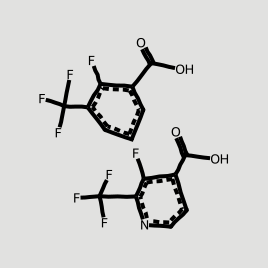 O=C(O)c1cccc(C(F)(F)F)c1F.O=C(O)c1ccnc(C(F)(F)F)c1F